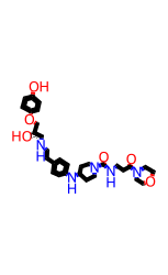 O=C(CCNC(=O)N1CCC(Nc2ccc(CCNC[C@H](O)COc3ccc(O)cc3)cc2)CC1)N1CCOCC1